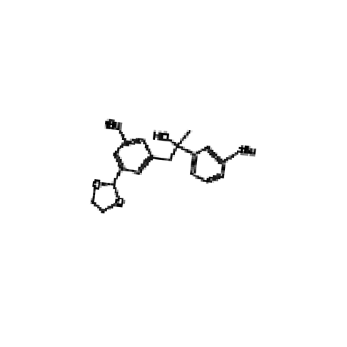 CC(C)(C)c1cc(CC(C)(O)c2cccc(C(C)(C)C)c2)cc(C2OCCO2)c1